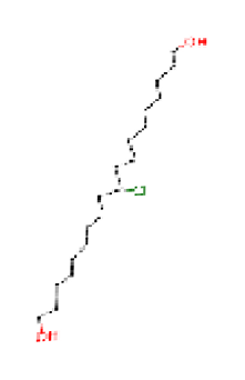 OCCCCCCCCCC(Cl)CCCCCCCCCO